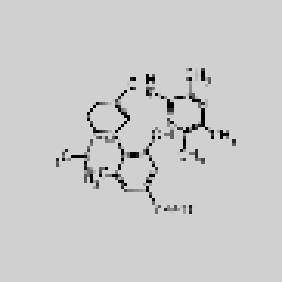 C=C(C)[C@@H]1CCC(C)=C[C@H]1c1c(O)cc(CCCCC)cc1O.Cc1nc(C)c(C)nc1C